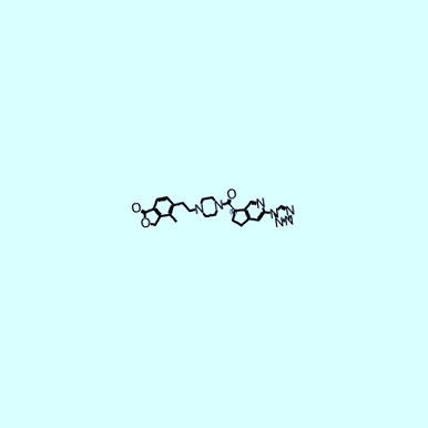 Cc1c(CCN2CCN(C(=O)[C@@H]3CCc4cc(-n5cnnn5)ncc43)CC2)ccc2c1COC2=O